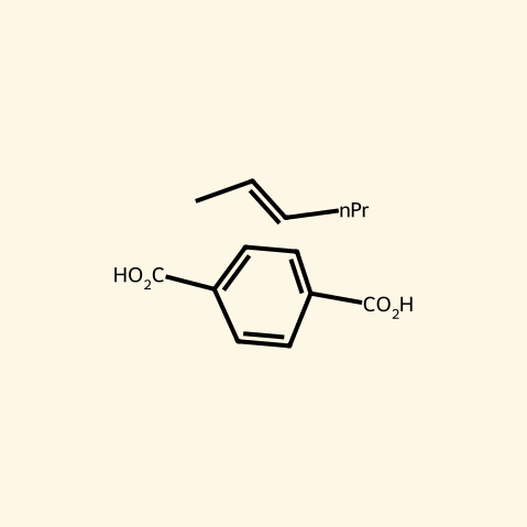 CC=CCCC.O=C(O)c1ccc(C(=O)O)cc1